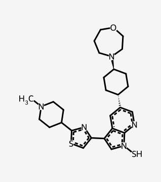 CN1CCC(c2nc(-c3cn(S)c4ncc([C@H]5CC[C@H](N6CCCOCC6)CC5)cc34)cs2)CC1